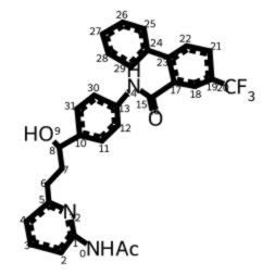 CC(=O)Nc1cccc(CCC(O)c2ccc(NC(=O)c3cc(C(F)(F)F)ccc3-c3ccccc3)cc2)n1